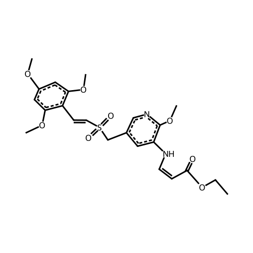 CCOC(=O)/C=C\Nc1cc(CS(=O)(=O)/C=C/c2c(OC)cc(OC)cc2OC)cnc1OC